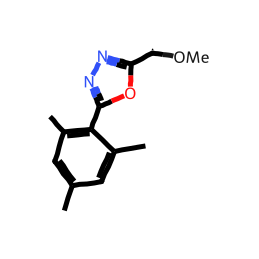 CO[CH]c1nnc(-c2c(C)cc(C)cc2C)o1